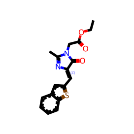 CCOC(=O)CN1C(=O)/C(=C/c2cc3ccccc3s2)N=C1C